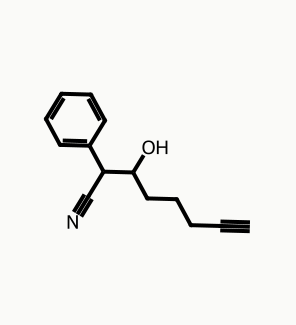 C#CCCCC(O)C(C#N)c1ccccc1